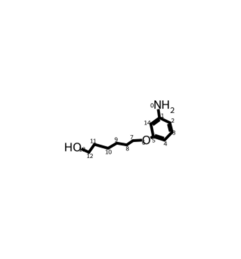 Nc1cccc(OCCCCCCO)c1